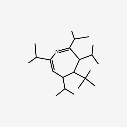 CC(C)C1=CC(C(C)C)C(C(C)(C)C)C(C(C)C)C(C(C)C)=N1